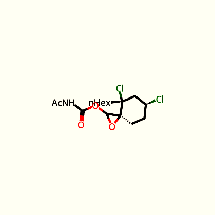 CCCCCC[C@@]1(Cl)C[C@@H](Cl)CC[C@@]12OC2OC(=O)NC(C)=O